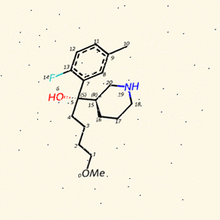 COCCCC[C@@](O)(c1cc(C)ccc1F)[C@@H]1CCCNC1